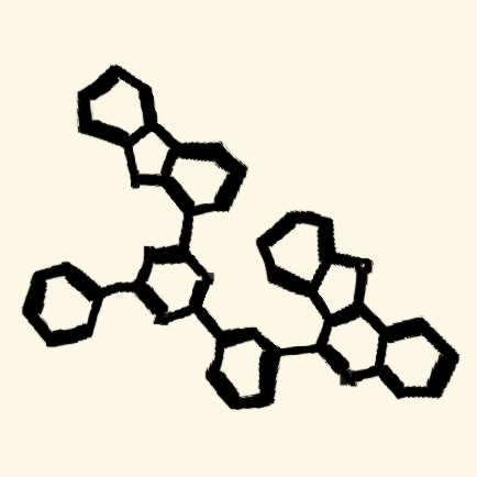 c1ccc(-c2nc(-c3cccc(-c4nc5ccccc5c5oc6ccccc6c45)c3)nc(-c3cccc4c3sc3ccccc34)n2)cc1